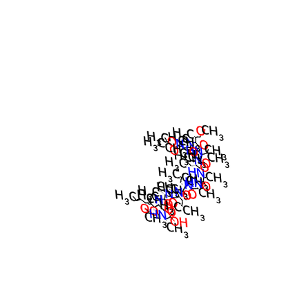 C/C=C/C[C@@H](C)[C@@H](OC(C)=O)[C@@H](C(=O)N[C@@H](CC)C(=O)O)N(C)C(=O)[C@H](C(C)C)N(C)C(=O)[C@H](CC(C)C)N(C)C(=O)[C@H](CC(C)C)N(C)C(=O)[C@@H](C)NC(=O)[C@H](C)NC(=O)[C@H](CC(C)C)N(C)C(=O)[C@@H](NC(=O)[C@H]([C@H](C)COC)N(C)C(=O)[C@@H](C)N(C)C(=O)OC(C)(C)C)C(C)C